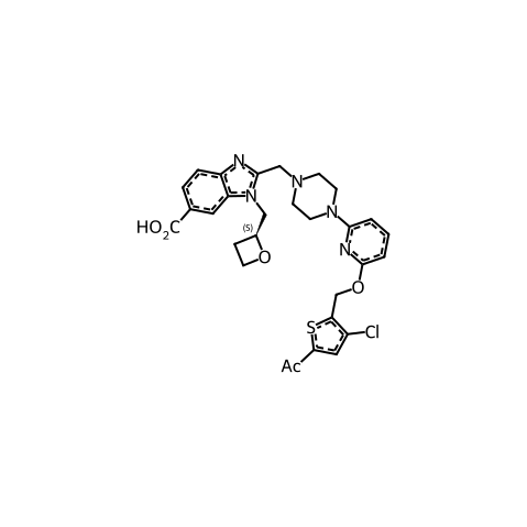 CC(=O)c1cc(Cl)c(COc2cccc(N3CCN(Cc4nc5ccc(C(=O)O)cc5n4C[C@@H]4CCO4)CC3)n2)s1